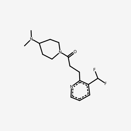 CN(C)C1CCN(C(=O)CCc2ncccc2C(F)F)CC1